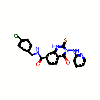 O=C(NCc1ccc(Cl)cc1)c1ccc2c(=O)n(Nc3ccccn3)c(=S)[nH]c2c1